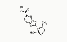 Cc1ccnc(O)c1-c1nc2nc(C(=O)OC(C)(C)C)ccn2n1